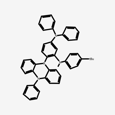 CN(c1ccc(C(C)(C)C)cc1)c1cc(N(c2ccccc2)c2ccccc2)ccc1B1c2ccccc2N(c2ccccc2)c2ccccc21